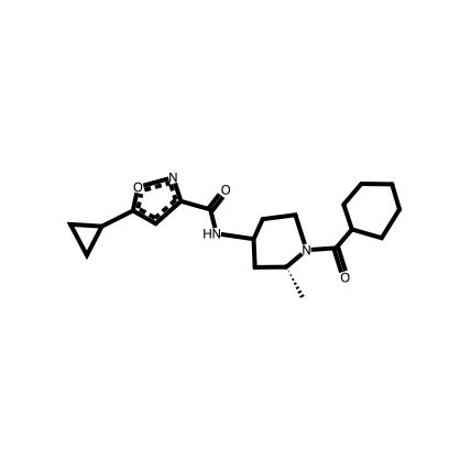 C[C@@H]1CC(NC(=O)c2cc(C3CC3)on2)CCN1C(=O)C1CCCCC1